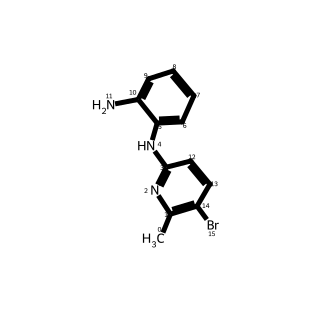 Cc1nc(Nc2ccccc2N)ccc1Br